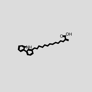 C=C(CCCCCCCCCCCCc1cccc2c1[nH]c1ccccc12)C(=O)O